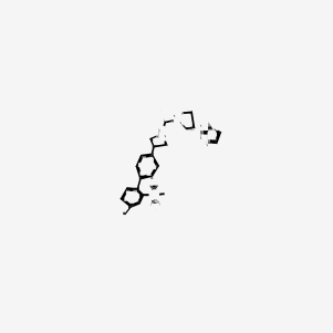 CS(=O)(=O)c1cc(Cl)ccc1-c1ccc(C2CN(C(=O)N3CC[C@H](n4nccn4)C3)C2)cc1